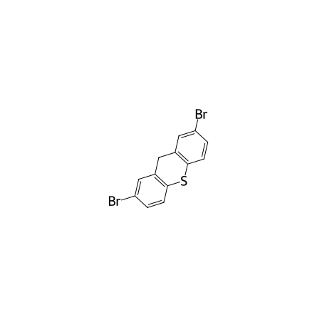 Brc1ccc2c(c1)Cc1cc(Br)ccc1S2